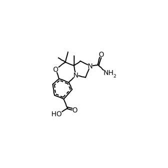 CC1(C)Oc2ccc(C(=O)O)cc2N2CN(C(N)=O)CC21C